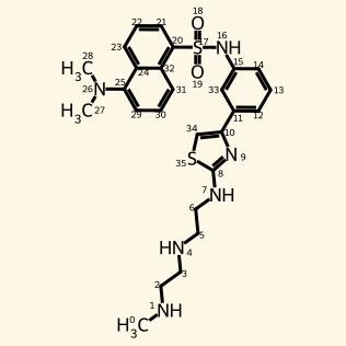 CNCCNCCNc1nc(-c2cccc(NS(=O)(=O)c3cccc4c(N(C)C)cccc34)c2)cs1